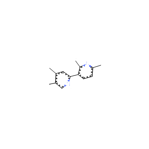 Cc1ccc(-c2cc(C)c(C)cn2)c(C)n1